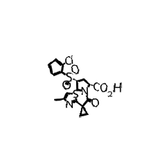 Cc1csc(C2(C(=O)N3C[C@H](S(=O)(=O)c4ccccc4Cl)C[C@H]3C(=O)O)CC2)n1